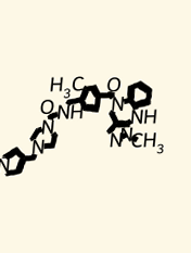 Cc1cc(C(=O)N2Cc3cnn(C)c3Nc3ccccc32)ccc1CNC(=O)N1CCN(Cc2ccncc2)CC1